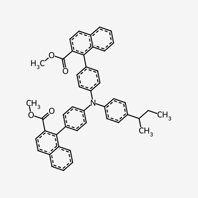 CCC(C)c1ccc(N(c2ccc(-c3c(C(=O)OC)ccc4ccccc34)cc2)c2ccc(-c3c(C(=O)OC)ccc4ccccc34)cc2)cc1